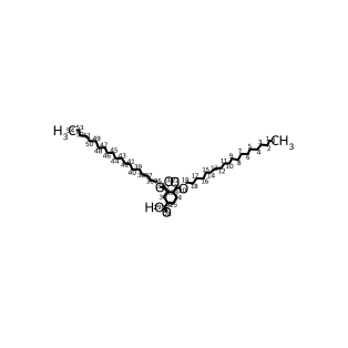 CCCCCCCCCCCCCCCCCCCCOC(=O)C1CCC(C(=O)O)CC1C(=O)OCCCCCCCCCCCCCCCCCCCC